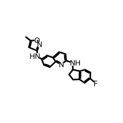 Cc1cc(Nc2ccc3nc(NC4CCc5cc(F)ccc54)ccc3c2)no1